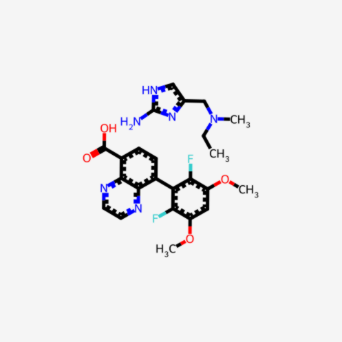 CCN(C)Cc1c[nH]c(N)n1.COc1cc(OC)c(F)c(-c2ccc(C(=O)O)c3nccnc23)c1F